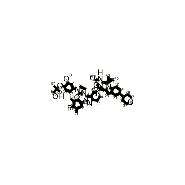 COc1cc(-n2ccn(-c3c4c(nn3-c3cc(C)c(F)c(C)c3)CCN(C(=O)c3cc5cc(C6CCOCC6)ccc5n3[C@@]3(c5noc(=O)[nH]5)C[C@@H]3C)[C@H]4C)c2=O)ccc1OC(C)(C)CO